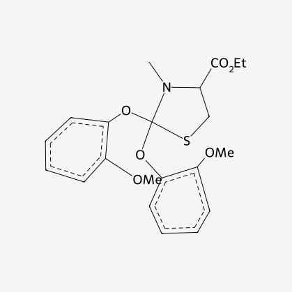 CCOC(=O)C1CSC(Oc2ccccc2OC)(Oc2ccccc2OC)N1C